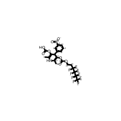 CC1=C(OC(=O)O)C(c2cccc([N+](=O)[O-])c2)C(OC(=O)OCCC(F)(F)C(F)(F)C(F)(F)C(F)(F)F)=C(C)N1